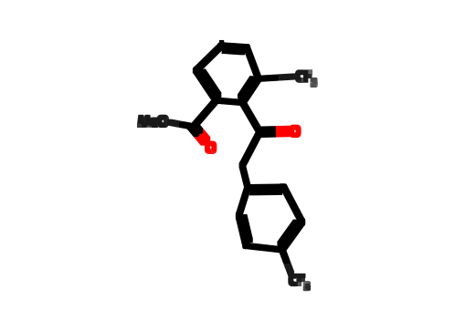 COC(=O)c1c[c]cc(C(F)(F)F)c1C(=O)Cc1ccc(C(F)(F)F)cc1